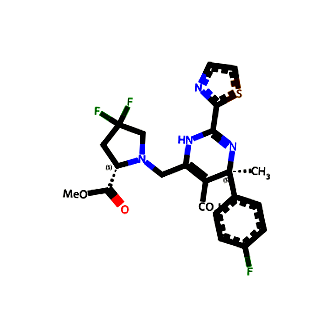 COC(=O)[C@@H]1CC(F)(F)CN1CC1=C(C(=O)O)[C@](C)(c2ccc(F)cc2)N=C(c2nccs2)N1